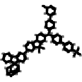 Cc1cccc(-c2ccc(N(c3ccc(-c4ccc([Si](C)(C)C)cc4)cc3)c3ccc4c(c3)C(C)(C)c3cc(-c5ccc6c(c5)-c5ccccc5C65C6CC7CC(C6)CC5C7)ccc3-4)cc2)c1